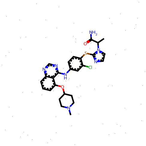 CC(C(N)=O)n1ccnc1Sc1ccc(Nc2ncnc3cccc(OC4CCN(C)CC4)c23)cc1Cl